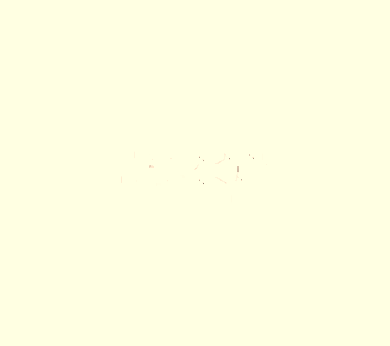 Nc1nc(Cl)c2[nH]c([C@@H]3O[C@H](CO)[C@@H](O)C3(F)F)nc2n1